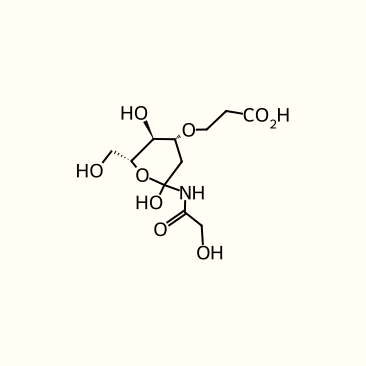 O=C(O)CCO[C@@H]1CC(O)(NC(=O)CO)O[C@H](CO)[C@H]1O